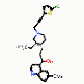 COc1ccc2nccc(C(O)CC[C@@H]3CCN(CC#Cc4ccc(Cl)s4)C[C@@H]3CC(=O)O)c2c1